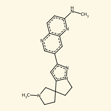 CNc1ccc2ncc(-c3cc4n(n3)CCC43CCN(C)C3)cc2n1